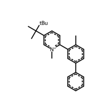 Cc1ccc(-c2ccccc2)cc1-c1ccc(C(C)(C)C(C)(C)C)c[n+]1C